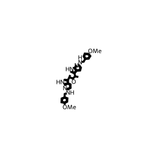 COc1ccc(CNc2ccc3c(C(C)C(=O)C(C)c4c[nH]c5nc(NCc6ccc(OC)cc6)ccc45)c[nH]c3n2)cc1